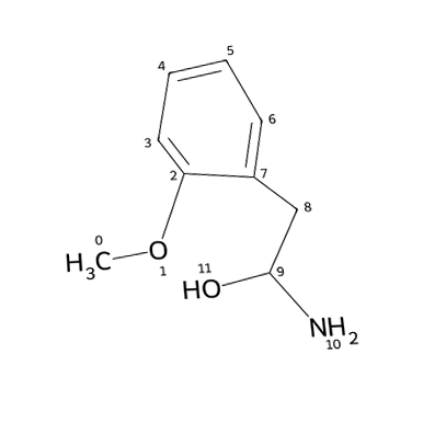 COc1ccccc1CC(N)O